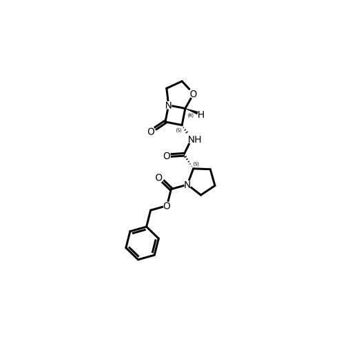 O=C(N[C@@H]1C(=O)N2CCO[C@H]12)[C@@H]1CCCN1C(=O)OCc1ccccc1